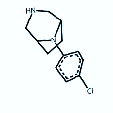 Clc1ccc(N2C3CCC2CNC3)cc1